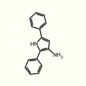 Nc1cc(-c2ccccc2)[nH]c1-c1ccccc1